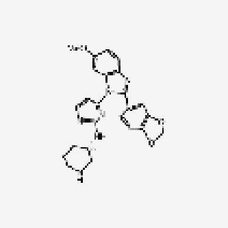 COc1ccc2nc(-c3ccc4c(c3)OCO4)n(-c3ccnc(N[C@H]4CCCNC4)n3)c2c1